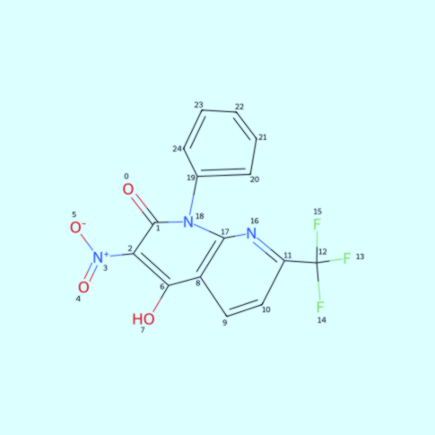 O=c1c([N+](=O)[O-])c(O)c2ccc(C(F)(F)F)nc2n1-c1ccccc1